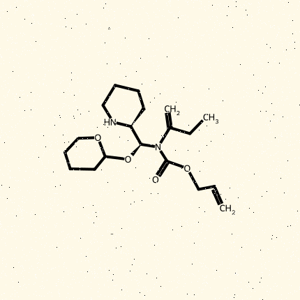 C=CCOC(=O)N(C(=C)CC)[C@@H](OC1CCCCO1)[C@@H]1CCCCN1